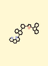 c1cc(-c2ccc(-c3cc4ccccc4c4ccccc34)o2)cc(-c2ccc(-c3ccc4ccc5cccnc5c4n3)c3ccccc23)c1